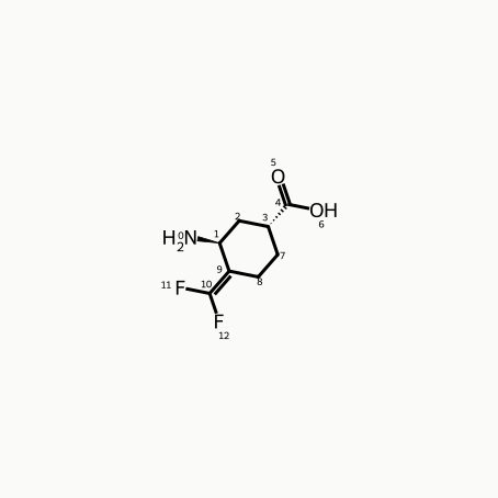 N[C@H]1C[C@H](C(=O)O)CCC1=C(F)F